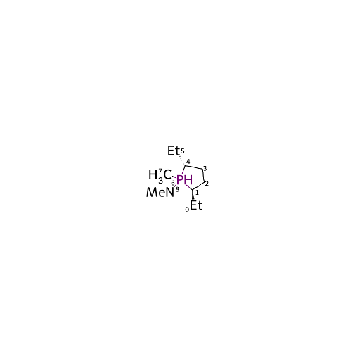 CC[C@@H]1CC[C@@H](CC)[PH]1(C)NC